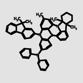 Cc1cc2c3c(c1)N1c4c(cccc4C4(C)CCCCC14C)B3c1ccc(N(c3ccccc3)c3ccccc3)cc1N2c1ccc2c(c1)C(C)(C)c1ccccc1-2